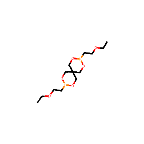 CCOCCP1OCC2(CO1)COP(CCOCC)OC2